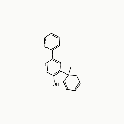 CC1(c2cc(-c3ccccn3)ccc2O)C=CC=CC1